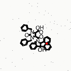 CN(C(=O)C1C(C(=O)O)N(Cc2ccccc2)C(=O)N1Cc1ccccc1)C(c1ccccc1)C(O)(c1ccccc1)c1ccccc1